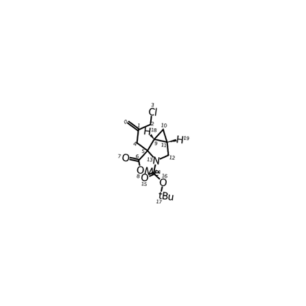 C=C(CCl)CC1(C(=O)OC)[C@@H]2C[C@@H]2CN1C(=O)OC(C)(C)C